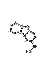 OBc1ccc2oc3ccccc3c2c1